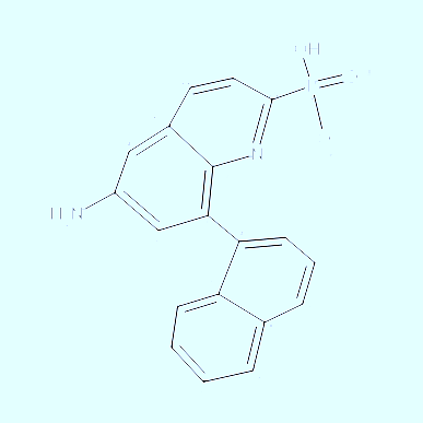 Nc1cc(-c2cccc3ccccc23)c2nc(P(=O)(O)O)ccc2c1